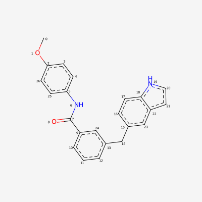 COc1ccc(NC(=O)c2cccc(Cc3ccc4[nH]ccc4c3)c2)cc1